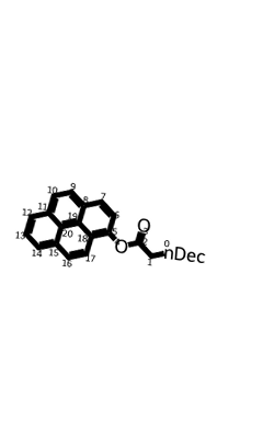 CCCCCCCCCCCC(=O)Oc1ccc2ccc3cccc4ccc1c2c34